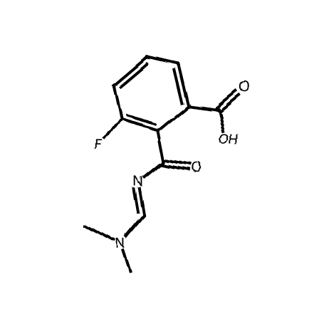 CN(C)/C=N/C(=O)c1c(F)cccc1C(=O)O